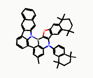 Cc1cc2c3c(c1)N(c1ccc4c(c1)C(C)(C)CCC4(C)C)c1c(oc4cc5c(cc14)C(C)(C)CCC5(C)C)B3n1c3cc4ccccc4cc3c3cccc-2c31